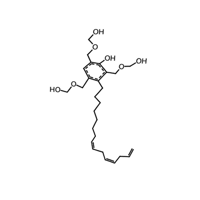 C=CC/C=C\C/C=C\CCCCCCCc1c(COCO)cc(COCO)c(O)c1COCO